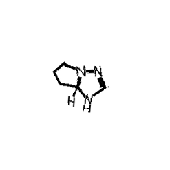 [C]1=NN2CCC[C@H]2N1